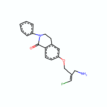 NC/C(=C/F)COc1ccc2c(c1)CCN(c1ccccc1)C2=O